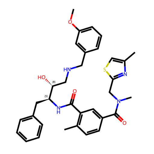 COc1cccc(CNC[C@@H](O)[C@H](Cc2ccccc2)NC(=O)c2cc(C(=O)N(C)Cc3nc(C)cs3)ccc2C)c1